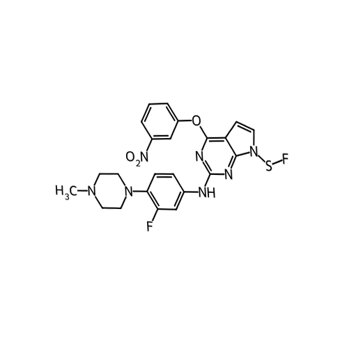 CN1CCN(c2ccc(Nc3nc(Oc4cccc([N+](=O)[O-])c4)c4ccn(SF)c4n3)cc2F)CC1